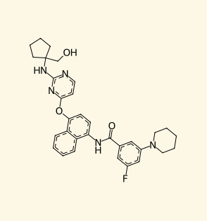 O=C(Nc1ccc(Oc2ccnc(NC3(CO)CCCC3)n2)c2ccccc12)c1cc(F)cc(N2CCCCC2)c1